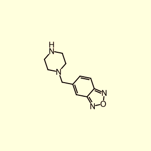 c1cc2nonc2cc1CN1CCNCC1